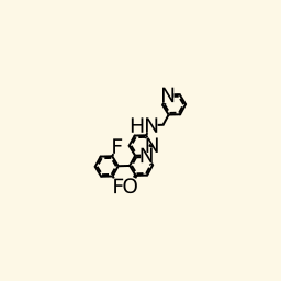 O=c1ccn2nc(NCc3cccnc3)ccc2c1-c1c(F)cccc1F